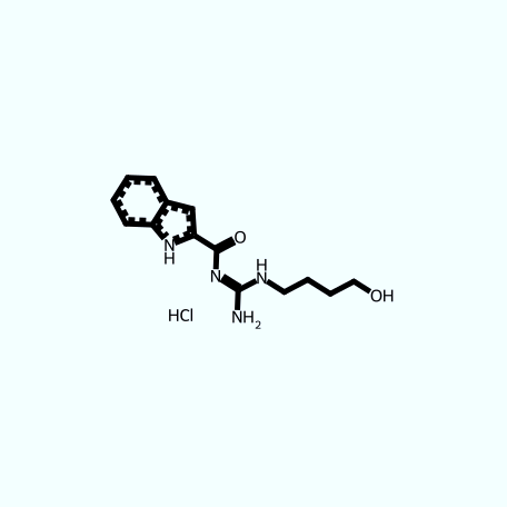 Cl.NC(=NC(=O)c1cc2ccccc2[nH]1)NCCCCO